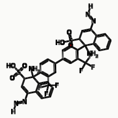 [H]/N=N/C1=CC(S(=O)(=O)O)C(N)(c2ccc(-c3ccc(C4(N)c5ccccc5C(/N=N/[H])=CC4S(=O)(=O)O)c(C(F)(F)F)c3)cc2C(F)(F)F)c2ccccc21